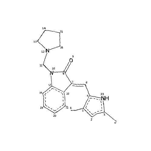 Cc1cc(C)c(C=C2C(=O)N(CN3CCCC3)c3ccccc32)[nH]1